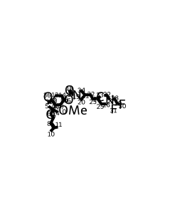 CO[C@H]1[C@H](C(C)(C)OCC=C(C)C)[C@]2(CC[C@H]1OC(=O)N1CC(CCC3CCN(CC(F)F)CC3)C1)CO2